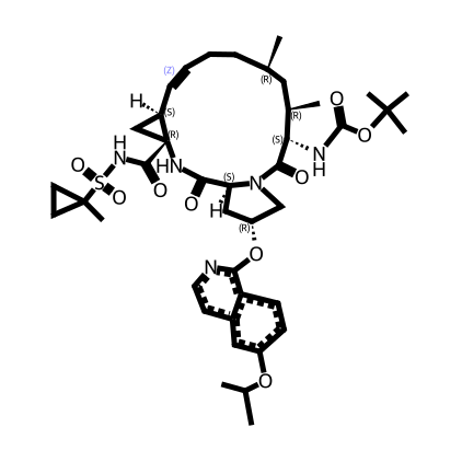 CC(C)Oc1ccc2c(O[C@@H]3C[C@H]4C(=O)N[C@]5(C(=O)NS(=O)(=O)C6(C)CC6)C[C@H]5/C=C\CC[C@@H](C)C[C@@H](C)[C@H](NC(=O)OC(C)(C)C)C(=O)N4C3)nccc2c1